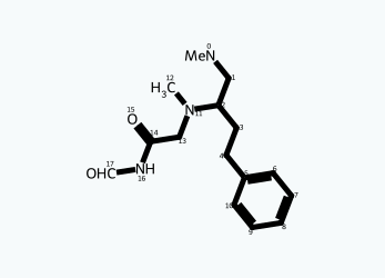 CNCC(CCc1ccccc1)N(C)CC(=O)NC=O